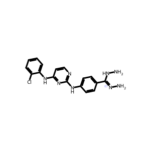 N/N=C(\NN)c1ccc(Nc2nccc(Nc3ccccc3Cl)n2)cc1